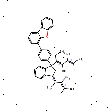 BC/C(=C(B)\C(B)=C(\B)C)C1(c2ccc(-c3cccc4c3oc3ccccc34)cc2)C/C(=C(B)\C(B)=C(\B)C)c2ccccc21